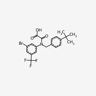 CC(C)(C)c1ccc(CN(C(=O)C(=O)O)c2cc(Br)cc(C(F)(F)F)c2)cc1